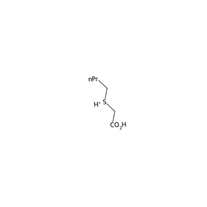 CCCCSCC(=O)O.[H+]